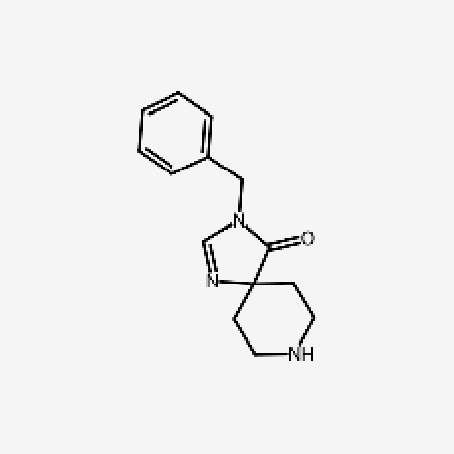 O=C1N(Cc2ccccc2)C=NC12CCNCC2